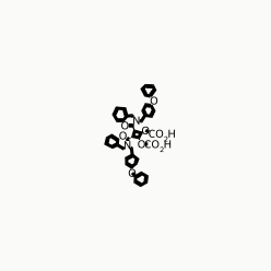 O=C(O)O[C@H]1[C@H](OC(=O)O)[C@H](C(=O)N(Cc2ccccc2)Cc2ccc(Oc3ccccc3)cc2)[C@H]1C(=O)N(Cc1ccccc1)Cc1ccc(Oc2ccccc2)cc1